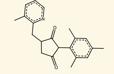 Cc1cc(C)c(C2C(=O)CC(Cc3ncccc3C)C2=O)c(C)c1